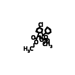 CCCOC(=O)C1=NC(OS(C)(=O)=O)(c2ccccc2)c2cc(Cl)ccc21